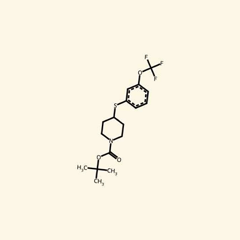 CC(C)(C)OC(=O)N1CCC(Sc2cccc(OC(F)(F)F)c2)CC1